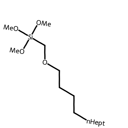 CCCCCCCCCCCOC[Si](OC)(OC)OC